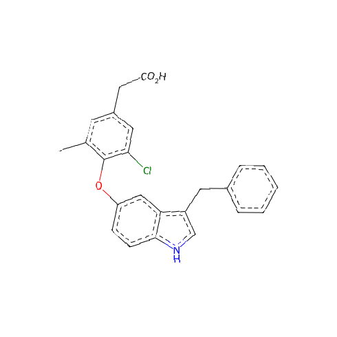 Cc1cc(CC(=O)O)cc(Cl)c1Oc1ccc2[nH]cc(Cc3ccccc3)c2c1